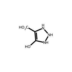 O=C(O)C1=C(O)NNN1